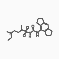 CCN(C)CCC(C)S(=O)(=O)NC(=O)Nc1c2c(cc3c1CCC3)CCC2